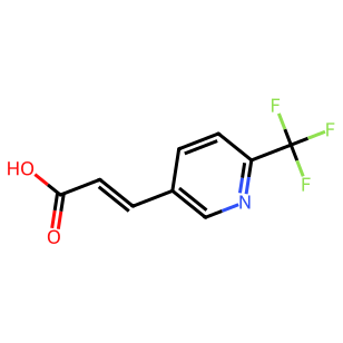 O=C(O)C=Cc1ccc(C(F)(F)F)nc1